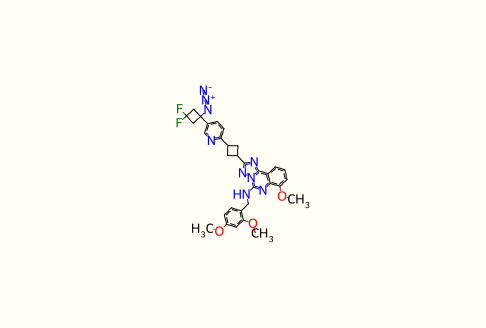 COc1ccc(CNc2nc3c(OC)cccc3c3nc(C4CC(c5ccc(C6(N=[N+]=[N-])CC(F)(F)C6)cn5)C4)nn23)c(OC)c1